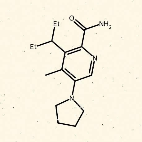 CCC(CC)c1c(C(N)=O)ncc(N2CCCC2)c1C